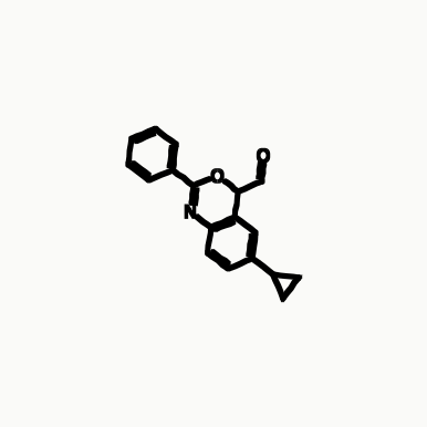 O=CC1OC(c2ccccc2)=Nc2ccc(C3CC3)cc21